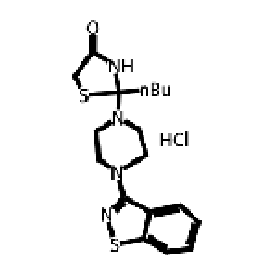 CCCCC1(N2CCN(c3nsc4ccccc34)CC2)NC(=O)CS1.Cl